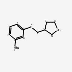 CC(C)(C)c1cccc(OCC2CCOC2)c1